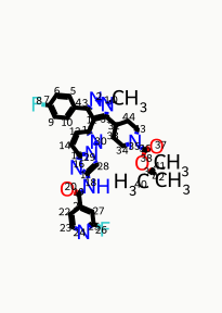 Cn1nc(-c2ccc(F)cc2)c(-c2ccc3nc(NC(=O)c4ccnc(F)c4)cn3n2)c1C1CCN(C(=O)OC(C)(C)C)CC1